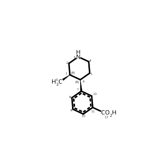 C[C@H]1CNCC[C@H]1c1cccc(C(=O)O)c1